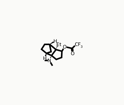 CC[C@]12C(OC(=O)C(F)(F)F)CC[C@@]1(N(C)C)[C@@H]1CC[C@H]2C1